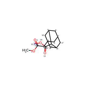 COC(=O)CC12CC3CC(C1)C(C(=O)OI)C(C3)C2